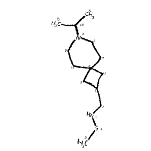 CSNCC1CC2(CCN(C(C)C)CC2)C1